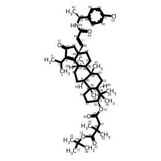 CC(C)C1=C2[C@H]3CC[C@@H]4[C@@]5(C)CC[C@H](OC(=O)CC(C)(C)C(=O)OC(C)(C)C)C(C)(C)[C@@H]5CC[C@@]4(C)[C@]3(C)CC[C@@]2(/C=C/C(=O)N[C@@H](C)c2ccc(Cl)cc2)CC1=O